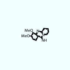 COc1ccc2c(=N)n3ccccc3nc2c1OC